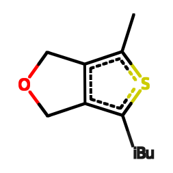 CCC(C)c1sc(C)c2c1COC2